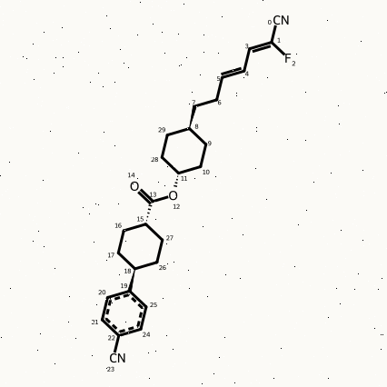 N#CC(F)=CC=CCC[C@H]1CC[C@H](OC(=O)[C@H]2CC[C@H](c3ccc(C#N)cc3)CC2)CC1